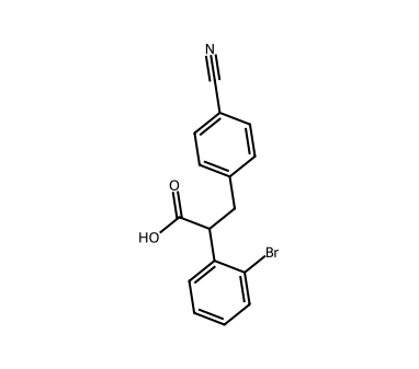 N#Cc1ccc(CC(C(=O)O)c2ccccc2Br)cc1